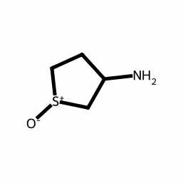 NC1CC[S+]([O-])C1